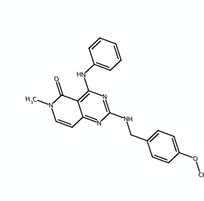 COc1ccc(CNc2nc(Nc3ccccc3)c3c(=O)n(C)ccc3n2)cc1